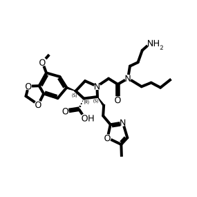 CCCCN(CCCN)C(=O)CN1C[C@H](c2cc(OC)c3c(c2)OCO3)[C@@H](C(=O)O)[C@@H]1CCc1ncc(C)o1